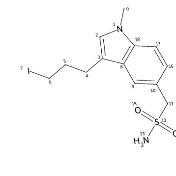 Cn1cc(CCCI)c2cc(CS(N)(=O)=O)ccc21